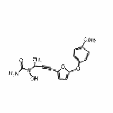 COc1ccc(Oc2ccc(C#CC(C)N(O)C(N)=O)o2)cc1